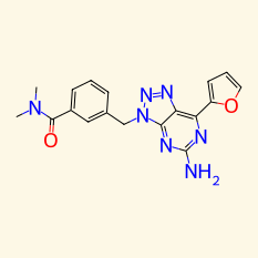 CN(C)C(=O)c1cccc(Cn2nnc3c(-c4ccco4)nc(N)nc32)c1